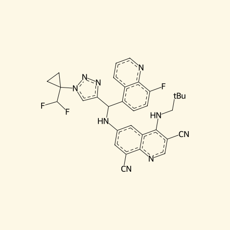 CC(C)(C)CNc1c(C#N)cnc2c(C#N)cc(NC(c3cn(C4(C(F)F)CC4)nn3)c3ccc(F)c4ncccc34)cc12